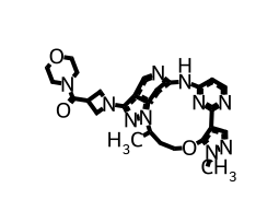 CC1CCOc2c(cnn2C)-c2nccc(n2)Nc2cc3c(cn2)c(N2CC(C(=O)N4CCOCC4)C2)nn31